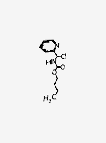 CCCCOC(=O)NC(Cl)c1ccccn1